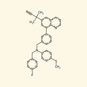 CSc1ccc(N(Cc2ccc(F)cc2)Cc2cccc(-c3cc(C(C)(C)C#N)cc4cccnc34)c2)cc1